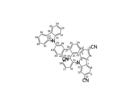 N#Cc1ccc2c(c1)c1ccc(C#N)cc1n2-c1ccccc1-c1ccccc1-c1cc(-n2c3ccccc3c3ccccc32)ccc1C#N